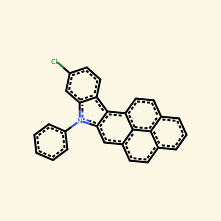 Clc1ccc2c3c4ccc5cccc6ccc(cc3n(-c3ccccc3)c2c1)c4c65